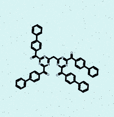 O=C(c1ccc(-c2ccccc2)cc1)c1nc(Cc2nc(C(=O)c3ccc(-c4ccccc4)cc3)nc(C(=O)c3ccc(-c4ccccc4)cc3)n2)nc(C(=O)c2ccc(-c3ccccc3)cc2)n1